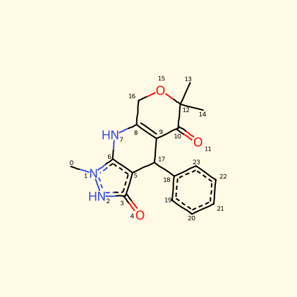 Cn1[nH]c(=O)c2c1NC1=C(C(=O)C(C)(C)OC1)C2c1ccccc1